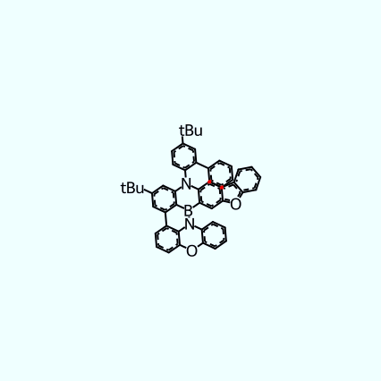 CC(C)(C)c1ccc(N2c3cc4c(cc3B3c5c(cc(C(C)(C)C)cc52)-c2cccc5c2N3c2ccccc2O5)oc2ccccc24)c(-c2ccccc2)c1